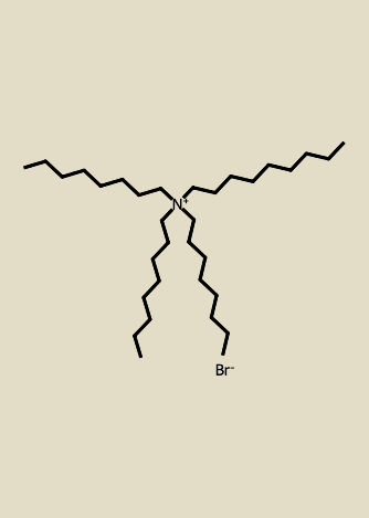 CCCCCCCCC[N+](CCCCCCCC)(CCCCCCCC)CCCCCCCC.[Br-]